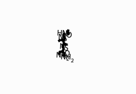 CC(=O)Nc1nc(C)c(-c2csc(C(CN)C(N)=O)n2)s1